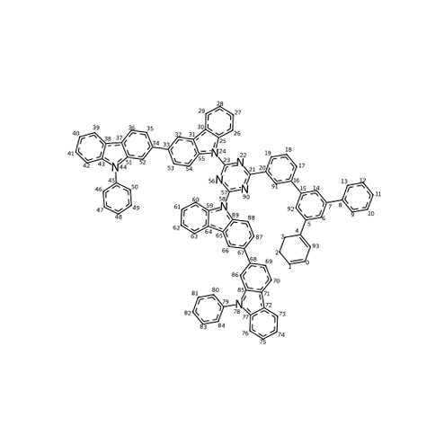 C1=CCCC(c2cc(-c3ccccc3)cc(-c3cccc(-c4nc(-n5c6ccccc6c6cc(-c7ccc8c9ccccc9n(-c9ccccc9)c8c7)ccc65)nc(-n5c6ccccc6c6cc(-c7ccc8c9ccccc9n(-c9ccccc9)c8c7)ccc65)n4)c3)c2)=C1